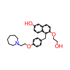 OCCOc1ccc2cc(O)ccc2c1Cc1ccc(OCCN2CCCCCC2)cc1